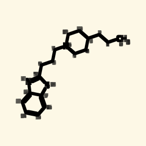 CCCC1CCN(CCCc2nc3ccccc3s2)CC1